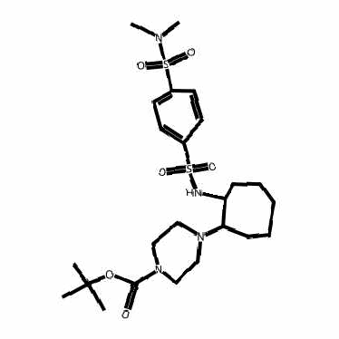 CN(C)S(=O)(=O)c1ccc(S(=O)(=O)NC2CCCCCC2N2CCN(C(=O)OC(C)(C)C)CC2)cc1